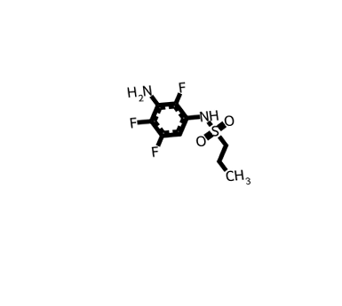 CCCS(=O)(=O)Nc1cc(F)c(F)c(N)c1F